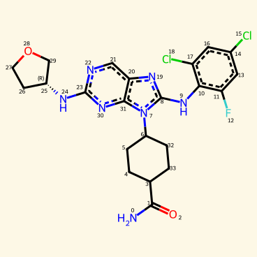 NC(=O)C1CCC(n2c(Nc3c(F)cc(Cl)cc3Cl)nc3cnc(N[C@@H]4CCOC4)nc32)CC1